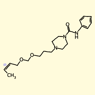 C/C=C\COCOCCCN1CCN(C(=O)Nc2ccccc2)CC1